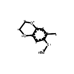 CCCCSc1cc2c(cc1C)OCCO2